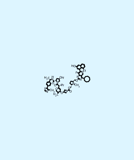 C=C1COC([C@H](C(=O)N2C[C@H](O)C[C@H]2C(=O)N[C@@H](C)c2ccc(-c3scnc3C)cc2)C(C)C)=CC1OC1CN(C(=O)OC[C@@H]2CC[C@@H](COc3nc(C4CCCCCCC4)c4cnc(-c5cc(O)cc6cccc(CC)c56)c(F)c4n3)N2C)C1